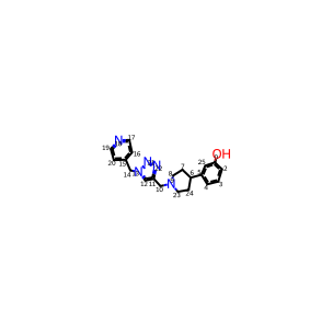 Oc1cccc(C2CCN(Cc3cn(Cc4ccncc4)nn3)CC2)c1